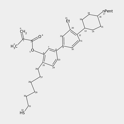 C=C(C)C(=O)Oc1cc(-c2ccc(C3CCC(CCCCC)CC3)c(CC)c2)ccc1CCCCCCS